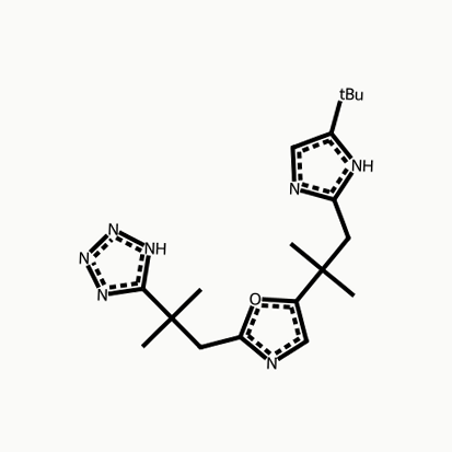 CC(C)(C)c1cnc(CC(C)(C)c2cnc(CC(C)(C)c3nnn[nH]3)o2)[nH]1